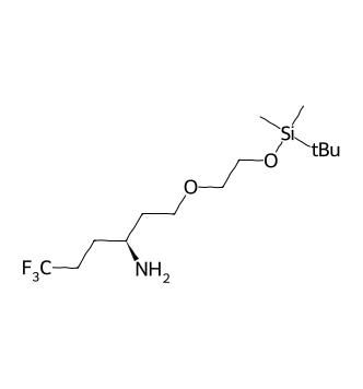 CC(C)(C)[Si](C)(C)OCCOCC[C@@H](N)CCC(F)(F)F